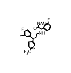 CNC(=O)[C@@H](NCC[C@@H](c1ccc(C(F)(F)F)nc1)c1ccc(F)c(C)c1)c1cccc(F)c1